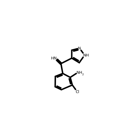 N=C(c1cn[nH]c1)c1cccc(Cl)c1N